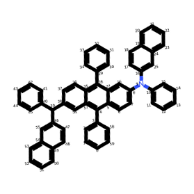 c1ccc(-c2c3ccc(N(c4ccccc4)c4ccc5ccccc5c4)cc3c(-c3ccccc3)c3ccc(C(c4ccccc4)c4ccc5ccccc5c4)cc23)cc1